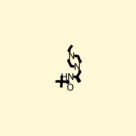 C=C(CN1CCN(CC)CC1)NC(=O)C(C)(C)C